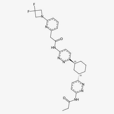 CCC(=O)Nc1ccc([C@H]2CCC[C@H](c3ccc(NC(=O)Cc4cccc(N5CC(F)(F)C5)n4)nn3)C2)nn1